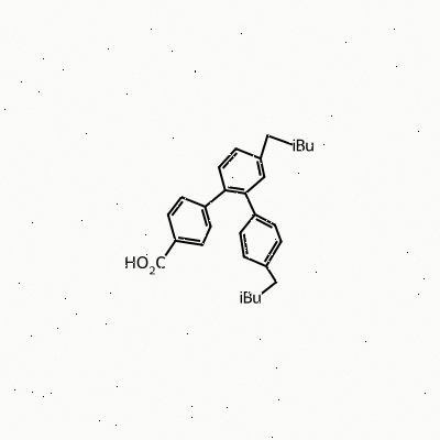 CCC(C)Cc1ccc(-c2cc(CC(C)CC)ccc2-c2ccc(C(=O)O)cc2)cc1